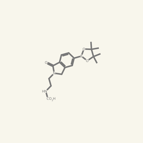 CC1(C)OB(c2ccc3c(c2)CN(CCNC(=O)O)C3=O)OC1(C)C